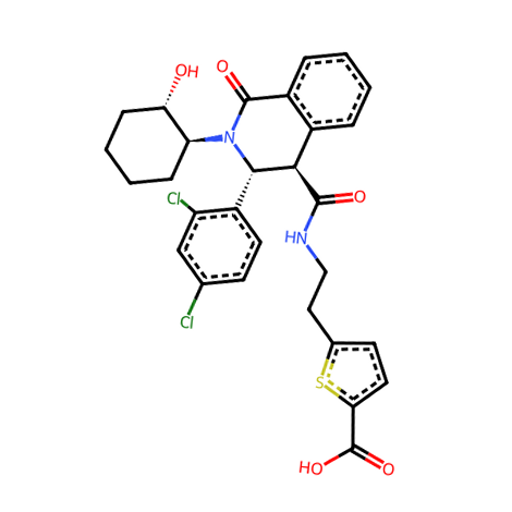 O=C(O)c1ccc(CCNC(=O)[C@@H]2c3ccccc3C(=O)N([C@H]3CCCC[C@@H]3O)[C@H]2c2ccc(Cl)cc2Cl)s1